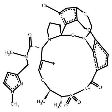 C[C@@H]1[C@@H](C)C/C=C(\F)[C@H](C(=O)N(C)Cc2ccn(C)n2)N2CCC[C@@]23CN2CCCCc4cc(Cl)cc3c4COc3ccc(cc32)C(=O)NS1(=O)=O